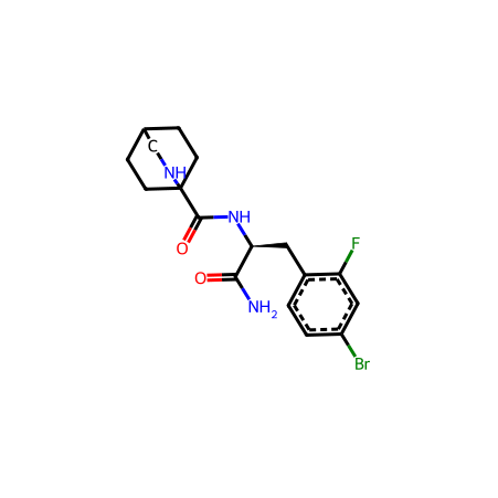 NC(=O)[C@H](Cc1ccc(Br)cc1F)NC(=O)C12CCC(CC1)CN2